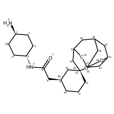 N[C@H]1CC[C@H](NC(=O)C[C@@H]2CCC[C@]3(CC4CC5CC(C4)CC(C5)OO3)C2)CC1